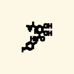 CC(c1cc(O)c(O)c(C(=O)NCc2ccc(F)cc2)n1)N(C)C